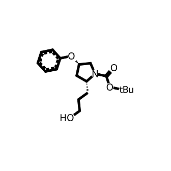 CC(C)(C)OC(=O)N1C[C@@H](Oc2ccccc2)C[C@H]1CCCO